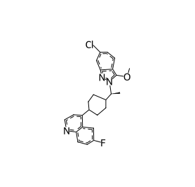 COc1c2ccc(Cl)cc2nn1[C@@H](C)C1CCC(c2ccnc3ccc(F)cc23)CC1